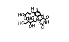 Cc1cc2nc3c(=O)[nH]c(=O)nc-3n(CC(O)C(O)C(O)CO)c2cc1NCCC(=O)O